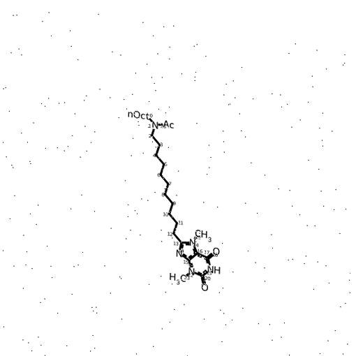 CCCCCCCCN(CCCCCCCCCCCc1nc2c(c(=O)[nH]c(=O)n2C)n1C)C(C)=O